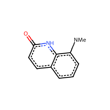 CNc1cccc2ccc(=O)[nH]c12